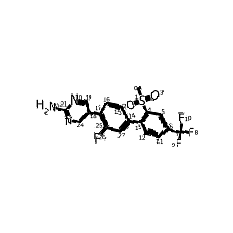 CS(=O)(=O)c1cc(C(F)(F)F)ccc1-c1ccc(-c2cnc(N)nc2)c(F)c1